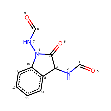 O=CNC1C(=O)N(NC=O)c2ccccc21